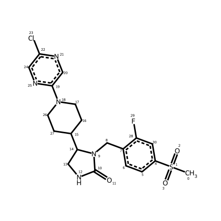 CS(=O)(=O)c1ccc(CN2C(=O)NCC2C2CCN(c3cnc(Cl)cn3)CC2)c(F)c1